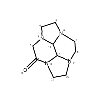 O=C1CN2CCN3CCN4CCN1C4C32